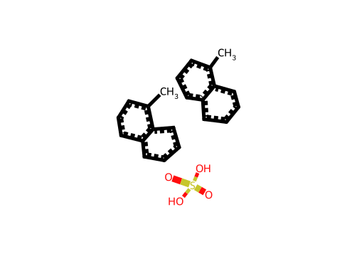 Cc1cccc2ccccc12.Cc1cccc2ccccc12.O=S(=O)(O)O